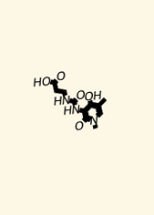 Cc1cn(C)c(=O)c(NC(=O)NCCC(=O)O)c1O